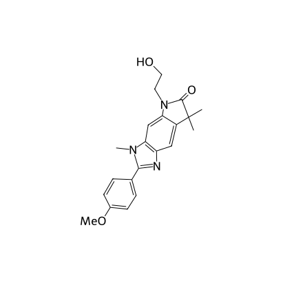 COc1ccc(-c2nc3cc4c(cc3n2C)N(CCO)C(=O)C4(C)C)cc1